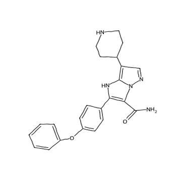 NC(=O)c1c(-c2ccc(Oc3ccccc3)cc2)[nH]c2c(C3CCNCC3)cnn12